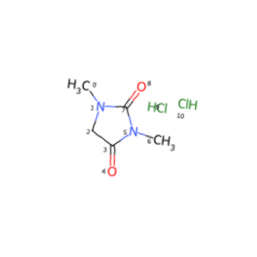 CN1CC(=O)N(C)C1=O.Cl.Cl